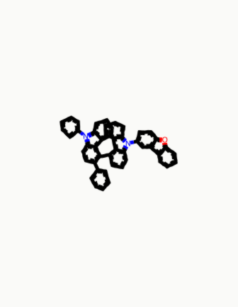 c1ccc(-c2ccc3c(c2-c2cccc4c2c2ccccc2n4-c2ccc4oc5ccccc5c4c2)c2ccccc2n3-c2ccccc2)cc1